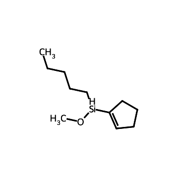 CCCCC[SiH](OC)C1=CCCC1